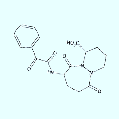 O=C(N[C@H]1CCC(=O)N2CCC[C@@H](C(=O)O)N2C1=O)C(=O)c1ccccc1